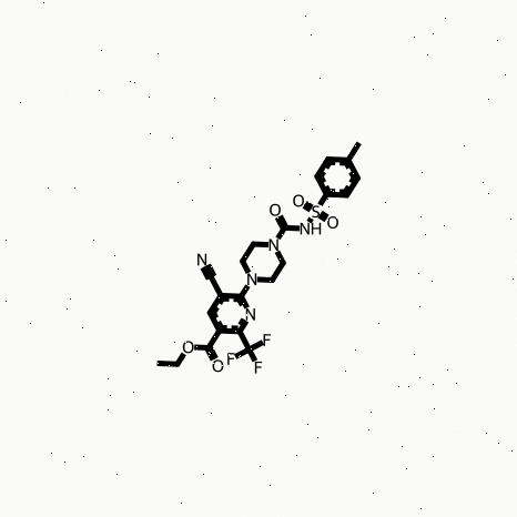 CCOC(=O)c1cc(C#N)c(N2CCN(C(=O)NS(=O)(=O)c3ccc(C)cc3)CC2)nc1C(F)(F)F